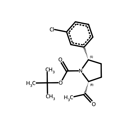 CC(=O)[C@H]1CC[C@@H](c2cccc(Cl)c2)N1C(=O)OC(C)(C)C